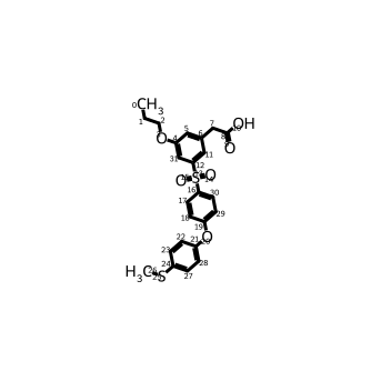 CCCOc1cc(CC(=O)O)cc(S(=O)(=O)c2ccc(Oc3ccc(SC)cc3)cc2)c1